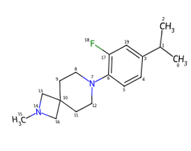 CC(C)c1ccc(N2CCC3(CC2)CN(C)C3)c(F)c1